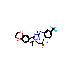 CC(C)[N+]1(CC(N)=O)N=C(Nc2cccc(C(F)(F)F)c2)N=C1c1ccc2c(c1)OCCO2